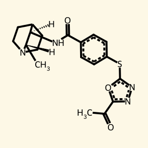 CC(=O)c1nnc(Sc2ccc(C(=O)N[C@@H]3C4CCN(CC4)[C@H]3C)cc2)o1